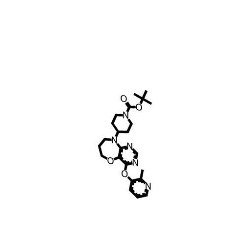 Cc1ncccc1Oc1ncnc2c1OCCCN2C1CCN(C(=O)OC(C)(C)C)CC1